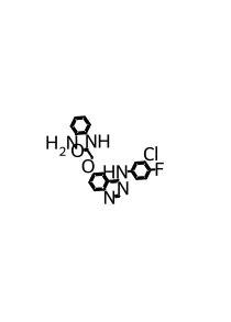 Nc1ccccc1NC(=O)COc1ccc2ncnc(Nc3ccc(F)c(Cl)c3)c2c1